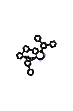 C=C1/C=C\C=C/N(c2cc(-c3ccccc3)cc(-c3ccccc3)c2)c2ccc(-c3cccc(-c4ccccc4Nc4ccc(-c5ccccc5)cc4)c3)cc21